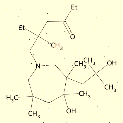 CCC(=O)CC(C)(CC)CN1CC(C)(C)CC(C)(O)C(C)(CC(C)(C)O)C1